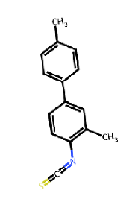 Cc1ccc(-c2ccc(N=C=S)c(C)c2)cc1